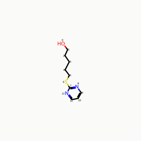 OCCCCCSc1ncccn1